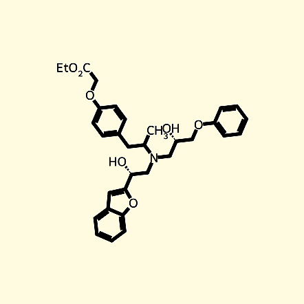 CCOC(=O)COc1ccc(CC(C)N(C[C@H](O)COc2ccccc2)C[C@@H](O)c2cc3ccccc3o2)cc1